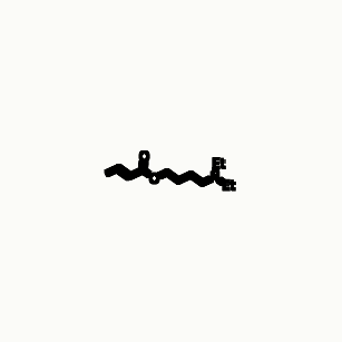 C/C=C/C(=O)OCCCCN(CC)CC